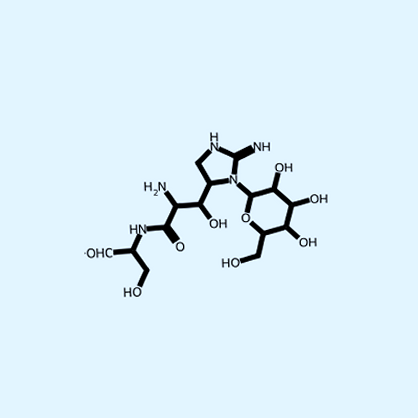 N=C1NCC(C(O)C(N)C(=O)NC([C]=O)CO)N1C1OC(CO)C(O)C(O)C1O